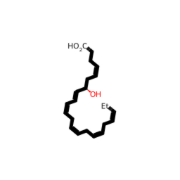 CC/C=C\C/C=C\C/C=C\C/C=C\C=C\[C@@H](O)C/C=C\CCC(=O)O